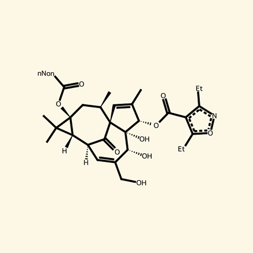 CCCCCCCCCC(=O)O[C@@]12C[C@@H](C)[C@]34C=C(C)[C@H](OC(=O)c5c(CC)noc5CC)[C@@]3(O)[C@H](O)C(CO)=C[C@H](C4=O)[C@@H]1C2(C)C